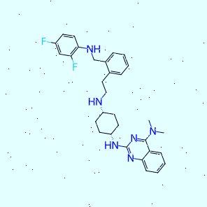 CN(C)c1nc(N[C@H]2CC[C@@H](NCCc3ccccc3CNc3ccc(F)cc3F)CC2)nc2ccccc12